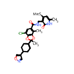 CSc1cc(C)[nH]c(=O)c1CNC(=O)c1cc(Cl)c2c(c1C)OC(C)(C1CCC(c3cnoc3)CC1)O2